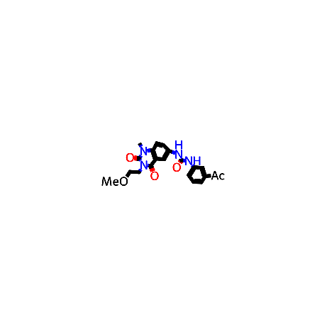 COCCn1c(=O)c2cc(NC(=O)Nc3cccc(C(C)=O)c3)ccc2n(C)c1=O